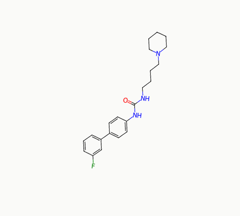 O=C(NCCCCN1CCCCC1)Nc1ccc(-c2cccc(F)c2)cc1